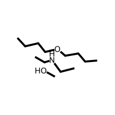 CCCCOCCCC.CCNCC.CO